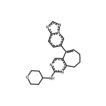 C1=C(c2ccc3ncnn3c2)c2cnc(NC3CCOCC3)nc2CCC1